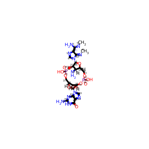 C=N/C(N)=C1/N=CN([C@@H]2O[C@@H]3COP(=O)(O)O[C@@H]4[C@H](O)[C@@H](COP(=O)(O)O[C@@H]2[C@@H]3N)O[C@H]4n2cnc3c(=O)[nH]c(N)nc32)/C1=N/C